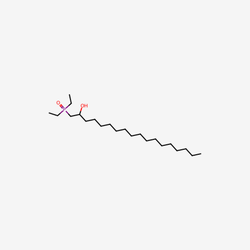 CCCCCCCCCCCCCCCCC(O)CP(=O)(CC)CC